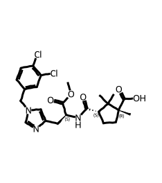 COC(=O)[C@H](Cc1cn(Cc2ccc(Cl)c(Cl)c2)cn1)NC(=O)[C@H]1CC[C@@](C)(C(=O)O)C1(C)C